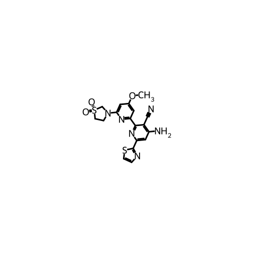 COc1cc(-c2nc(-c3nccs3)cc(N)c2C#N)nc(N2CCS(=O)(=O)C2)c1